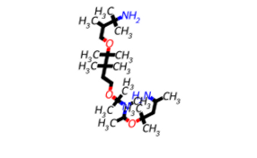 CC(N)CC(C)(C)OC(C)N(C)C(C)(C)OCCC(C)(C)C(C)(C)OCC(C)C(C)(C)N